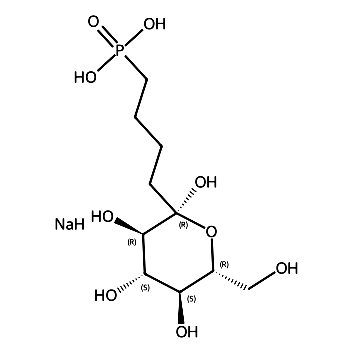 O=P(O)(O)CCCC[C@@]1(O)O[C@H](CO)[C@@H](O)[C@H](O)[C@H]1O.[NaH]